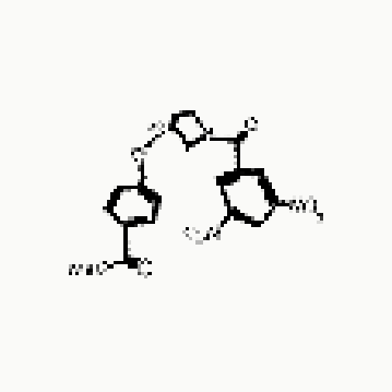 COC(=O)c1ccc(O[C@H]2CCN(C(=O)c3cc([N+](=O)[O-])cc([N+](=O)[O-])c3)C2)cc1